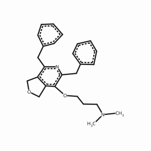 CN(C)CCCOc1c(Cc2ccccc2)nc(Cc2ccccc2)c2c1COC2